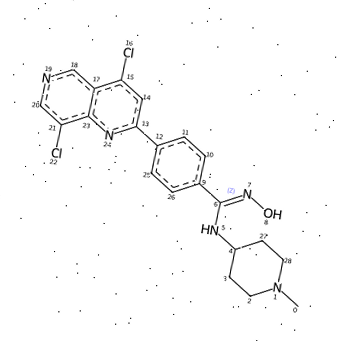 CN1CCC(N/C(=N\O)c2ccc(-c3cc(Cl)c4cncc(Cl)c4n3)cc2)CC1